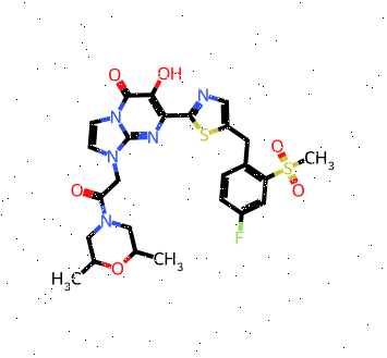 CC1CN(C(=O)Cn2ccn3c(=O)c(O)c(-c4ncc(Cc5ccc(F)cc5S(C)(=O)=O)s4)nc23)CC(C)O1